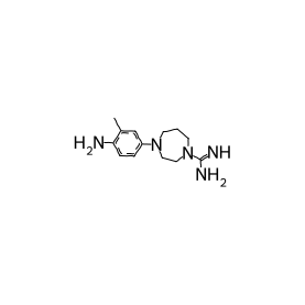 Cc1cc(N2CCCN(C(=N)N)CC2)ccc1N